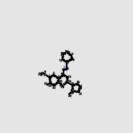 CCCc1cc2c(/C=C/c3ccnnc3)cc(-c3cncn3C)nc2cc1C